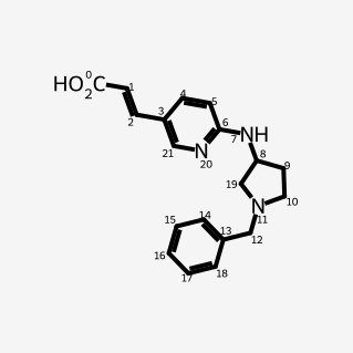 O=C(O)C=Cc1ccc(NC2CCN(Cc3ccccc3)C2)nc1